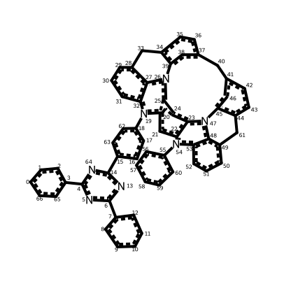 c1ccc(-c2nc(-c3ccccc3)nc(-c3ccc(-n4c5cc6c7cc5n5c8c(cccc84)Cc4ccc(cc4-5)Cc4ccc5c(c4)-n7c4c(cccc4n6-c4ccccc4)C5)cc3)n2)cc1